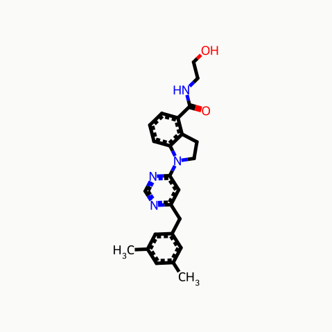 Cc1cc(C)cc(Cc2cc(N3CCc4c(C(=O)NCCO)cccc43)ncn2)c1